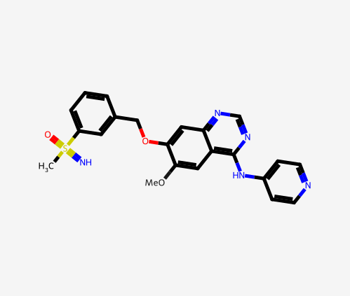 COc1cc2c(Nc3ccncc3)ncnc2cc1OCc1cccc(S(C)(=N)=O)c1